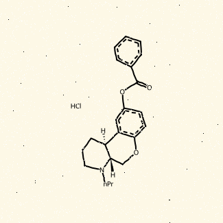 CCCN1CCC[C@H]2c3cc(OC(=O)c4ccccc4)ccc3OC[C@@H]21.Cl